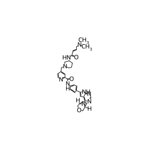 CN(C)C/C=C/C(=O)N[C@@H]1CCCN(Cc2ccnc(C(=O)Nc3ccc(-c4cc5c(N6[C@@H]7CC[C@H]6COC7)ncnc5[nH]4)cc3)c2)C1